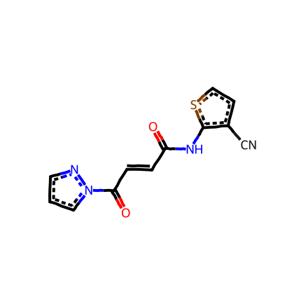 N#Cc1ccsc1NC(=O)C=CC(=O)n1cccn1